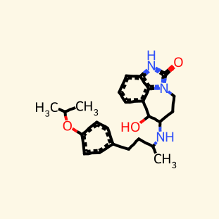 CC(CCc1ccc(OC(C)C)cc1)NC1CCn2c(=O)[nH]c3cccc(c32)C1O